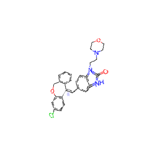 O=c1[nH]c2cc(/C=C3\c4ccccc4COc4cc(Cl)ccc43)ccc2n1CCN1CCOCC1